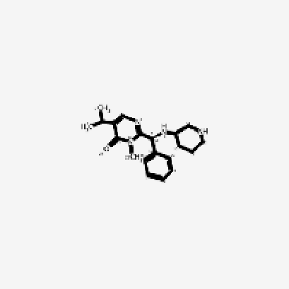 CC(C)c1cnc([C@@H](NC2CCCNC2)c2ccccc2)n(C)c1=O